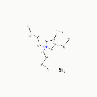 B.CCCC[N+](CCCC)(CCCC)CCCC